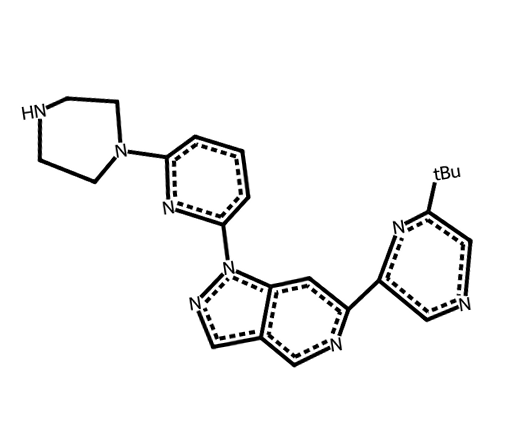 CC(C)(C)c1cncc(-c2cc3c(cn2)cnn3-c2cccc(N3CCNCC3)n2)n1